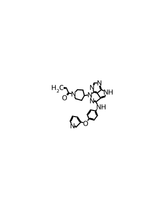 C=CC(=O)N1CCC(N2N=C(Nc3ccc(Oc4cccnc4)cc3)c3c[nH]c4ncnc2c34)CC1